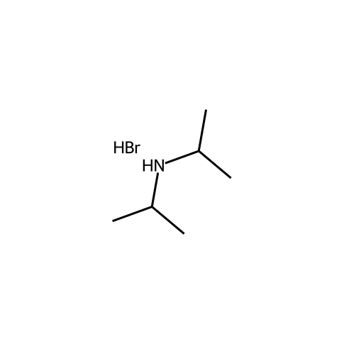 Br.CC(C)NC(C)C